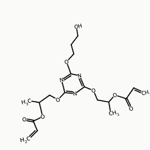 C=CC(=O)OC(C)COc1nc(OCCCO)nc(OCC(C)OC(=O)C=C)n1